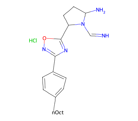 CCCCCCCCc1ccc(-c2noc(C3CCC(N)N3C=N)n2)cc1.Cl